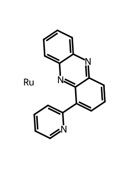 [Ru].c1ccc(-c2cccc3nc4ccccc4nc23)nc1